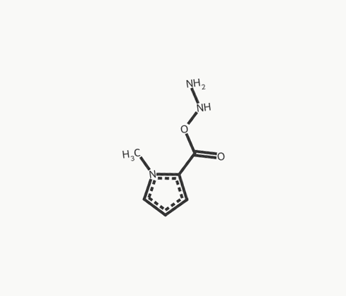 Cn1cccc1C(=O)ONN